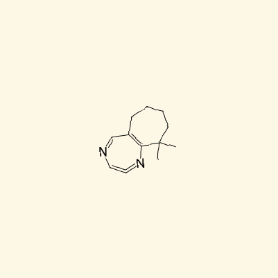 CC1(C)CCCCC2=C1N=C=CN=C2